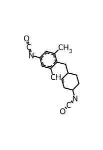 Cc1cc(N=C=O)cc(C)c1CC1CCC(N=C=O)CC1